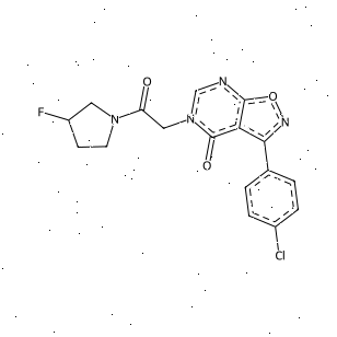 O=C(Cn1cnc2onc(-c3ccc(Cl)cc3)c2c1=O)N1CCC(F)C1